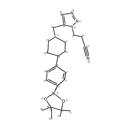 CC1(C)OB(c2ccc(C3CCC(Cc4nnnn4CCC#N)CC3)cc2)OC1(C)C